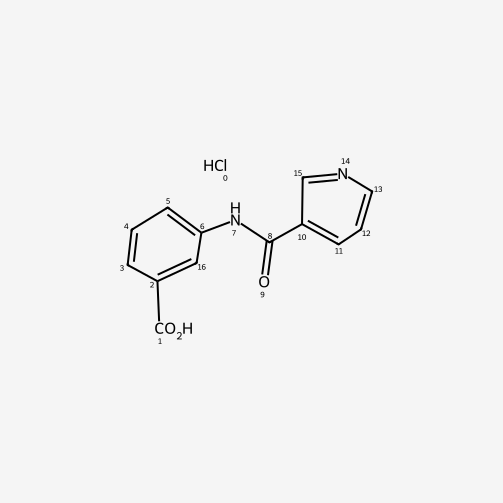 Cl.O=C(O)c1cccc(NC(=O)c2cccnc2)c1